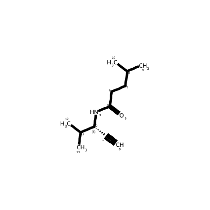 C#C[C@@H](NC(=O)CCC(C)C)C(C)C